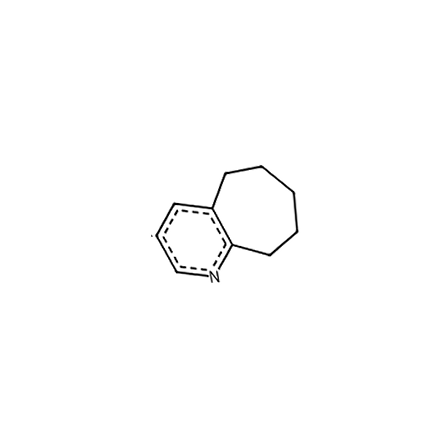 [c]1cnc2c(c1)CCCCC2